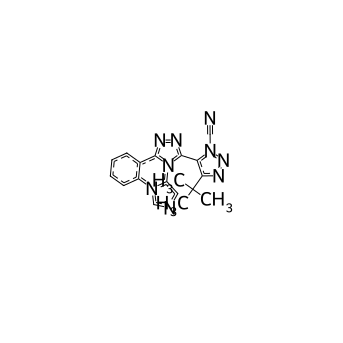 CC(C)(C)c1nnn(C#N)c1-c1nnc2c3ccccc3n3cncc3n12